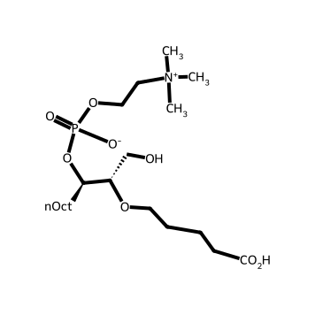 CCCCCCCC[C@@H](OP(=O)([O-])OCC[N+](C)(C)C)[C@H](CO)OCCCCC(=O)O